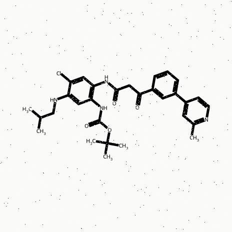 Cc1cc(-c2cccc(C(=O)CC(=O)Nc3cc(Cl)c(NCC(C)C)cc3NC(=O)OC(C)(C)C)c2)ccn1